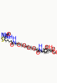 NC1CSC(CCCCC(=O)NCCOCCOCCOCCOCCC(=O)NCc2ccc(/C=C/C(=O)O)c(O)c2)C1NC=O